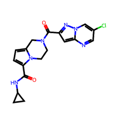 O=C(NC1CC1)c1ccc2n1CCN(C(=O)c1cc3ncc(Cl)cn3n1)C2